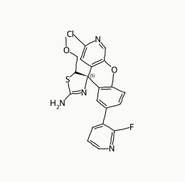 COCC1SC(N)=N[C@]12c1cc(-c3cccnc3F)ccc1Oc1cnc(Cl)cc12